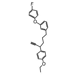 C#CC(CCCc1cccc(Oc2ccc(F)cc2)c1)c1ccc(OCC)cc1